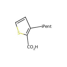 CCCC(C)c1ccsc1C(=O)O